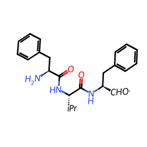 CC(C)[C@H](NC(=O)[C@@H](N)Cc1ccccc1)C(=O)N[C@H]([C]=O)Cc1ccccc1